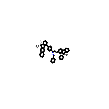 CC1(C)c2cc3ccccc3cc2-c2c(-c3ccc(/C(=C/Cc4ccc5c(c4)C(C)(c4ccccc4)c4ccccc4-5)NCc4ccccc4)cc3)cccc21